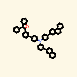 c1ccc(-c2c(-c3cccc(-c4ccc(N(c5ccc(-c6ccc7c(ccc8ccccc87)c6)cc5)c5cccc(-c6ccc7ccccc7c6)c5)cc4)c3)oc3ccccc23)cc1